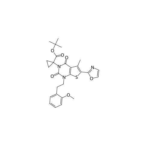 COc1ccccc1CCn1c(=O)n(C2(C(=O)OC(C)(C)C)CC2)c(=O)c2c(C)c(-c3ncco3)sc21